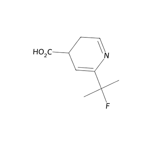 CC(C)(F)C1=CC(C(=O)O)CC=N1